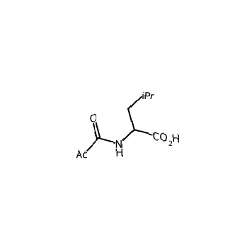 CC(=O)C(=O)NC(CC(C)C)C(=O)O